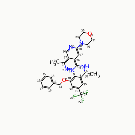 Cc1nnc(N[C@H](C)c2cc(OCc3ccccc3)cc(C(F)(F)F)c2)c2cc(N3CCOCC3)ncc12